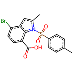 Cc1ccc(S(=O)(=O)n2c(C)cc3c(Br)ccc(C(=O)O)c32)cc1